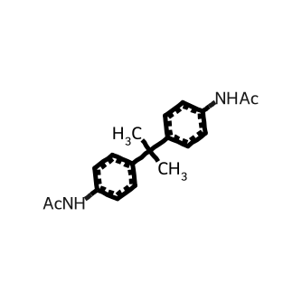 CC(=O)Nc1ccc(C(C)(C)c2ccc(NC(C)=O)cc2)cc1